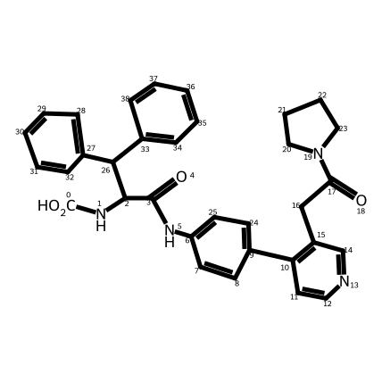 O=C(O)NC(C(=O)Nc1ccc(-c2ccncc2CC(=O)N2CCCC2)cc1)C(c1ccccc1)c1ccccc1